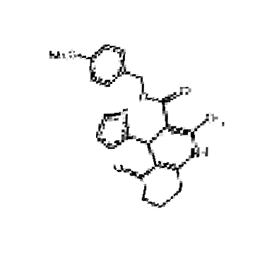 COc1ccc(COC(=O)C2=C(C)NC3=C(C(=O)CCC3)C2c2cccs2)cc1